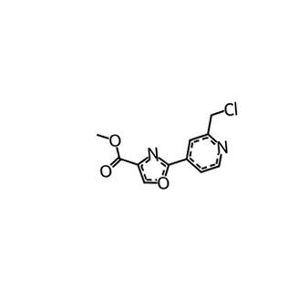 COC(=O)c1coc(-c2ccnc(CCl)c2)n1